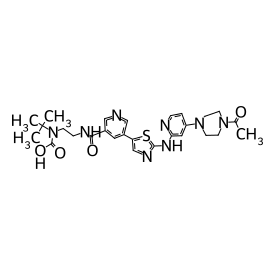 CC(=O)N1CCN(c2ccnc(Nc3ncc(-c4cncc(C(=O)NCCN(C(=O)O)C(C)(C)C)c4)s3)c2)CC1